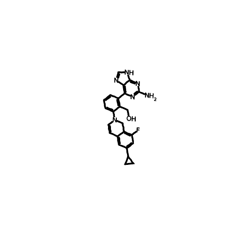 Nc1nc(-c2cccc(N3C=Cc4cc(C5CC5)cc(F)c4C3)c2CO)c2nc[nH]c2n1